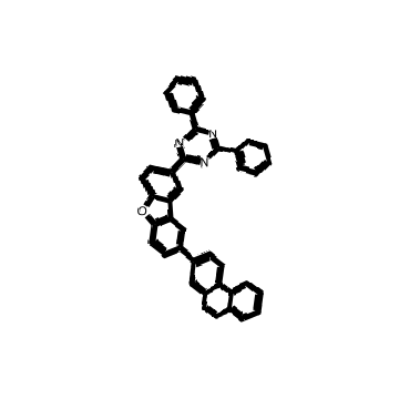 c1ccc(-c2nc(-c3ccccc3)nc(-c3ccc4oc5ccc(-c6ccc7c(ccc8ccccc87)c6)cc5c4c3)n2)cc1